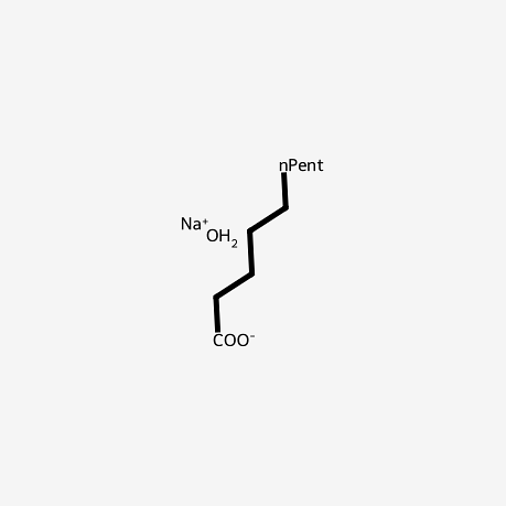 CCCCCCCCCC(=O)[O-].O.[Na+]